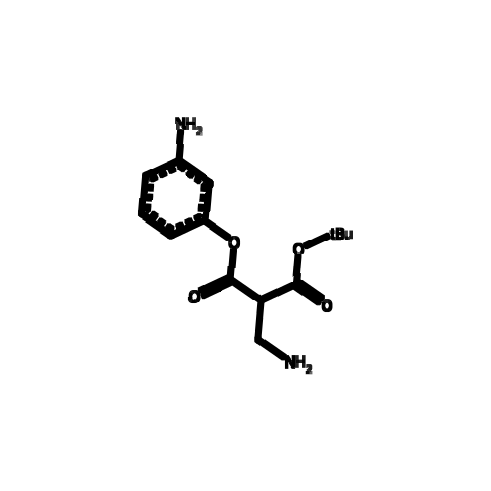 CC(C)(C)OC(=O)C(CN)C(=O)Oc1cccc(N)c1